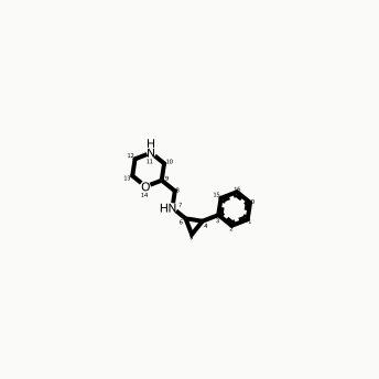 c1ccc(C2CC2NCC2CNCCO2)cc1